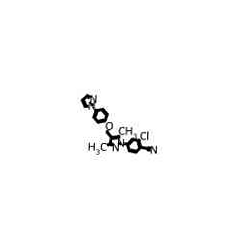 Cc1nn(-c2ccc(C#N)c(Cl)c2)c(C)c1COc1ccc(-n2cccn2)cc1